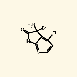 BC1(Br)C(=O)Nc2nccc(Cl)c21